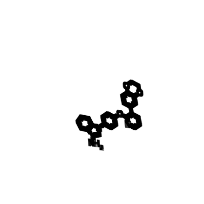 NS1=CN(c2ccc(Oc3ncccc3-c3ccc4c(c3)OCCO4)cc2)c2ccccc21